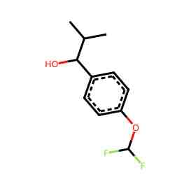 CC(C)C(O)c1ccc(OC(F)F)cc1